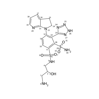 NCC(O)CNS(=O)(=O)c1ccc(N2CCc3cccnc32)c(-c2nn[nH]n2)c1S(N)(=O)=O